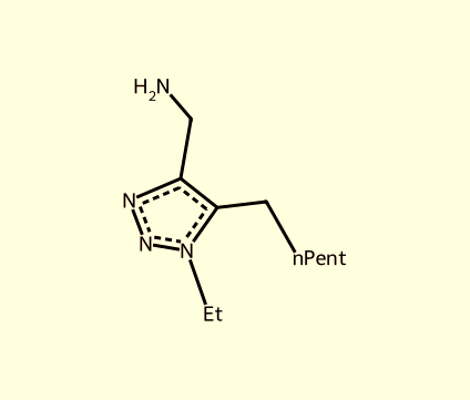 CCCCCCc1c(CN)nnn1CC